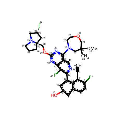 C#Cc1c(F)ccc2cc(O)cc(-c3ncc4c(N5CCOCC(C)(OC)C5)nc(OC[C@@]56CCCN5C[C@H](F)C6)nc4c3F)c12